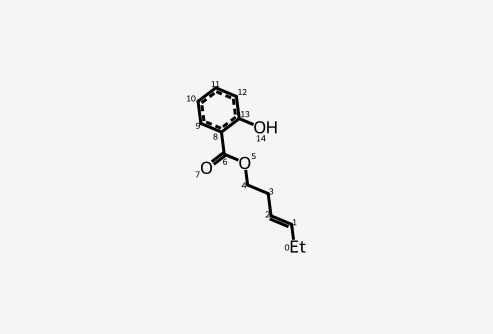 CCC=CCCOC(=O)c1ccccc1O